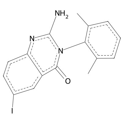 Cc1cccc(C)c1-n1c(N)nc2ccc(I)cc2c1=O